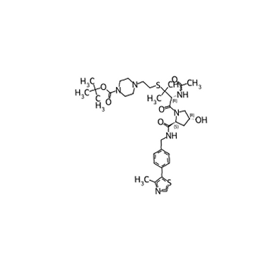 CC(=O)N[C@H](C(=O)N1C[C@H](O)C[C@H]1C(=O)NCc1ccc(-c2scnc2C)cc1)C(C)(C)SCCN1CCN(C(=O)OC(C)(C)C)CC1